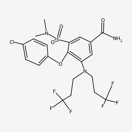 CN(C)S(=O)(=O)c1cc(C(N)=O)cc(N(CCC(F)(F)F)CCC(F)(F)F)c1Oc1ccc(Cl)cc1